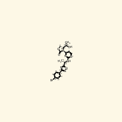 C[C@H](Nc1nccc(N2C(=O)OC[C@@H]2[C@@H](C)O)n1)c1nc(-c2ccc(Br)cc2)no1